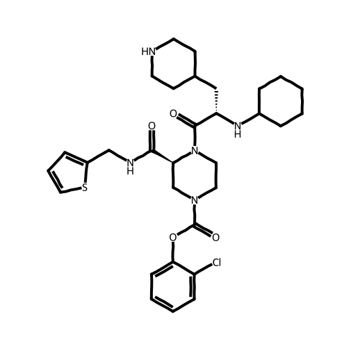 O=C(NCc1cccs1)[C@@H]1CN(C(=O)Oc2ccccc2Cl)CCN1C(=O)[C@H](CC1CCNCC1)NC1CCCCC1